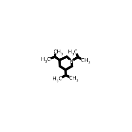 CC(C)C1CC(C(C)C)CN(C(C)C)C1